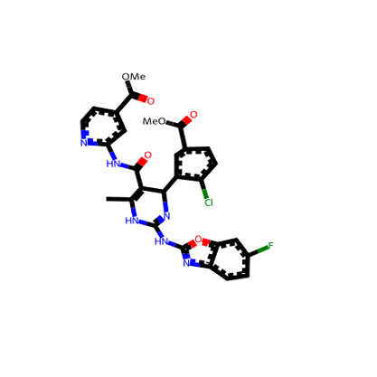 COC(=O)c1ccnc(NC(=O)C2=C(C)NC(Nc3nc4ccc(F)cc4o3)=NC2c2cc(C(=O)OC)ccc2Cl)c1